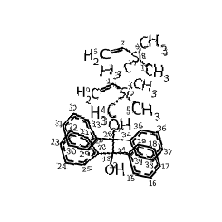 C=C[Si](C)(C)C.C=C[Si](C)(C)C.OC(c1ccccc1)(c1ccccc1)C(O)(c1ccccc1)c1ccccc1